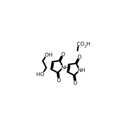 CC(=O)O.O=C1C=CC(=O)N1.O=C1C=CC(=O)N1.OCCO